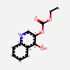 CCOC(=O)Oc1cnc2ccccc2c1O